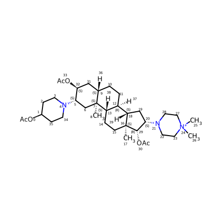 CC(=O)OC1CCN([C@H]2C[C@@]3(C)[C@@H](CC[C@@H]4[C@@H]3CC[C@@]3(C)[C@H]4C[C@H](N4CC[N+](C)(C)CC4)[C@@H]3OC(C)=O)C[C@@H]2OC(C)=O)CC1